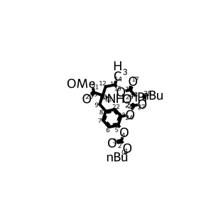 CCCCOC(=O)Oc1ccc(C[C@](N)(CC(C)OC(=O)C(C)C)C(=O)OC)cc1OC(=O)OCCCC